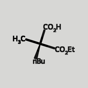 CCCC[C@@](C)(C(=O)O)C(=O)OCC